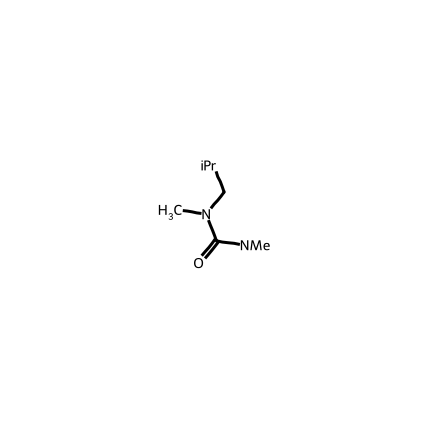 CNC(=O)N(C)CC(C)C